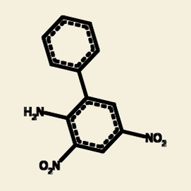 Nc1c(-c2ccccc2)cc([N+](=O)[O-])cc1[N+](=O)[O-]